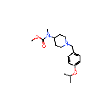 COC(=O)N(C)C1CCN(Cc2ccc(OC(C)C)cc2)CC1